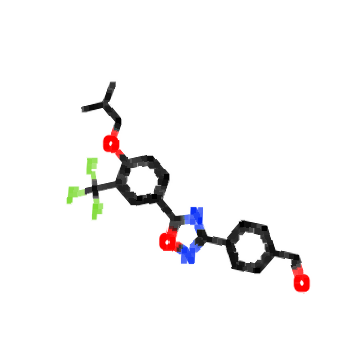 CC(C)COc1ccc(-c2nc(-c3ccc(C=O)cc3)no2)cc1C(F)(F)F